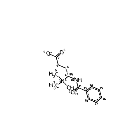 C[N+](C)(C)[C@H](CCC(=O)[O-])NC(=O)c1ccccc1